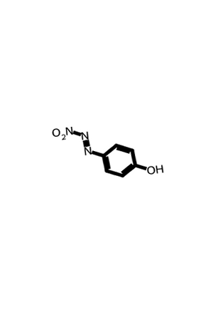 O=[N+]([O-])N=Nc1ccc(O)cc1